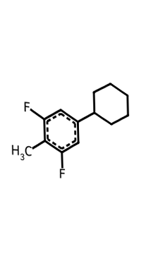 Cc1c(F)cc(C2CCCCC2)cc1F